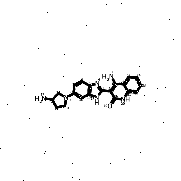 Nc1c(-c2nc3ccc(N4CCC(N)C4)cc3[nH]2)c(=O)[nH]c2ccccc12